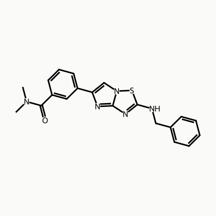 CN(C)C(=O)c1cccc(-c2cn3sc(NCc4ccccc4)nc3n2)c1